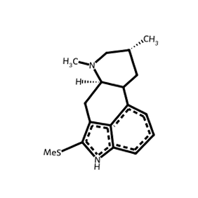 CSc1[nH]c2cccc3c2c1C[C@@H]1C3C[C@@H](C)CN1C